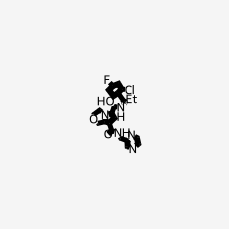 CC[C@@H](NC(O)c1cc(C(=O)NCc2cnccn2)c2n1CCOC2)c1ccc(F)cc1Cl